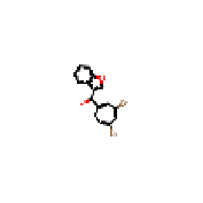 O=C(C1=CC(Br)=CC(Br)=CC1)c1coc2ccccc12